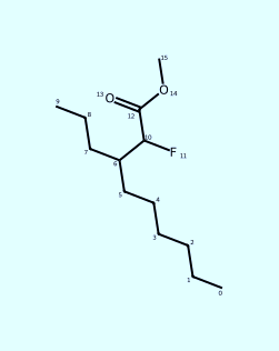 CCCCCCC(CCC)C(F)C(=O)OC